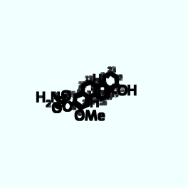 COc1cc2c(cc1OS(N)(=O)=O)CC[C@@H]1[C@@H]2CC[C@]2(C)C(O)CCC[C@@H]12